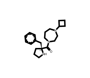 O=C(N1CCCN(C2CCC2)CC1)[C@@]1(Cc2ccccc2)CCCN1